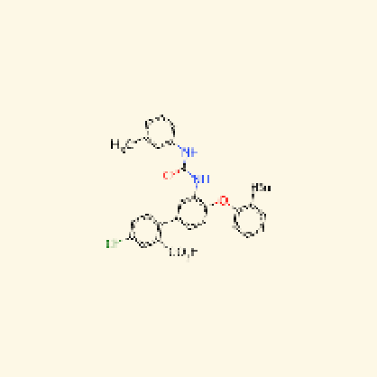 Cc1cccc(NC(=O)Nc2cc(-c3ccc(Cl)cc3C(=O)O)ccc2Oc2ccccc2C(C)(C)C)c1